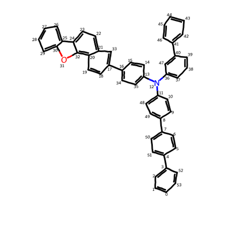 c1ccc(-c2ccc(-c3ccc(N(c4ccc(-c5ccc6c(ccc7c8ccccc8oc67)c5)cc4)c4cccc(-c5ccccc5)c4)cc3)cc2)cc1